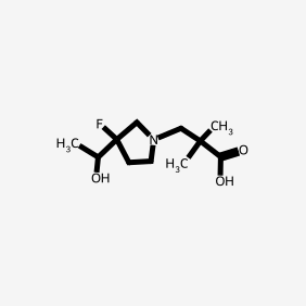 CC(O)C1(F)CCN(CC(C)(C)C(=O)O)C1